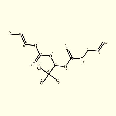 C=CCOC(=O)OC(OC(=O)OC=CC)C(Cl)(Cl)Cl